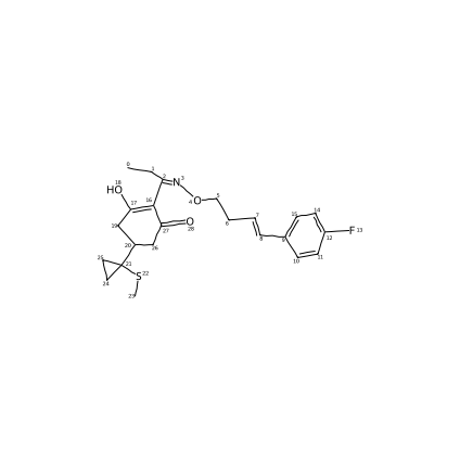 CCC(=NOCCC=Cc1ccc(F)cc1)C1=C(O)CC(C2(SC)CC2)CC1=O